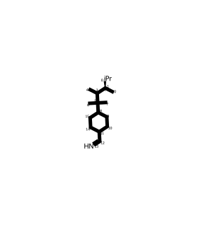 CC(C)[C@@H](C)C(C)C(C)(C)C1CCC(C=N)CC1